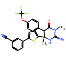 CN1C(=N)N[C@](C)(c2ccc(-c3cccc(C#N)c3)s2)C(c2ccc(OC(F)(F)F)cc2)C1=O